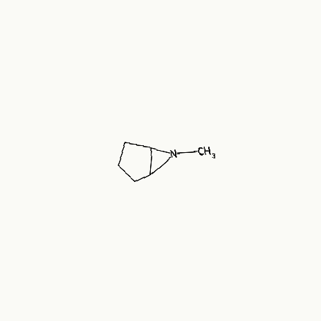 CN1C2CCCC21